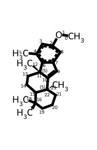 COc1cc(C)c2c(c1)C=C1[C@]2(C)CCC2C(C)(C)CCC[C@]12C